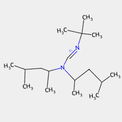 CC(C)CC(C)N(/C=N/C(C)(C)C)C(C)CC(C)C